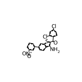 Nc1c(C(=O)c2ccc(Cl)cc2Cl)sc2cc(-c3cccc([N+](=O)[O-])c3)ccc12